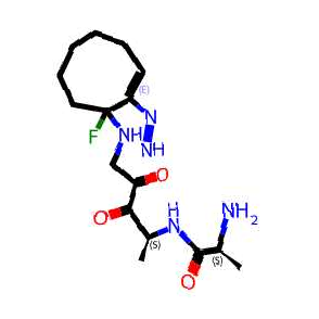 C[C@H](N)C(=O)N[C@@H](C)C(=O)C(=O)CNC1(F)CCCCC/C=C\1N=N